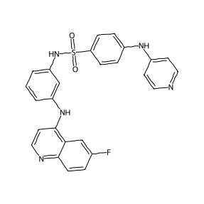 O=S(=O)(Nc1cccc(Nc2ccnc3ccc(F)cc23)c1)c1ccc(Nc2ccncc2)cc1